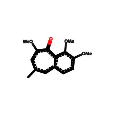 COc1ccc2cc(C)cc(OC)c(=O)c2c1OC